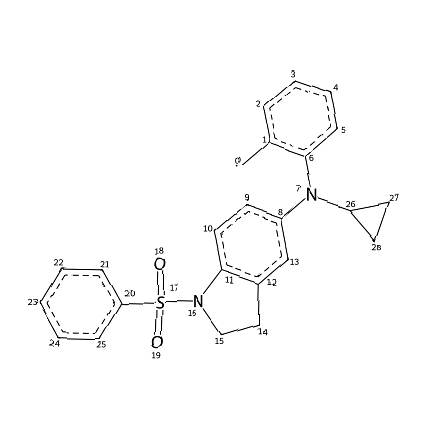 [CH2]c1ccccc1N(c1ccc2c(c1)CCN2S(=O)(=O)c1ccccc1)C1CC1